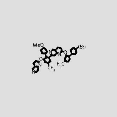 COc1ccc(-c2c(Oc3ccc4cnccc4n3)cc(C(F)(F)F)cc2-c2cc3nc(Oc4cc(C(F)(F)F)ccc4-c4ccc(C(C)(C)C)cc4)ccc3cn2)cc1